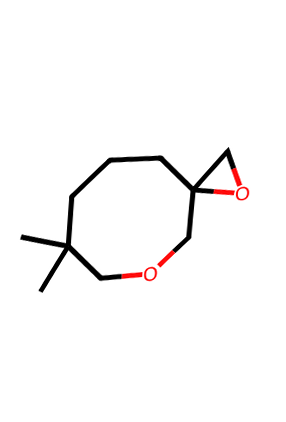 CC1(C)CCCC2(COC1)CO2